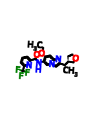 CCOc1cc2nc([C@@H](C)[C@@H]3CCOC3)cn2cc1NC(=O)c1cccc(C(F)(F)F)n1